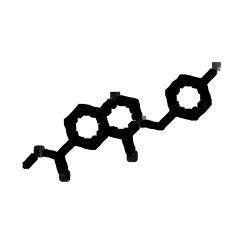 COC(=O)c1ccc2ncn(Cc3ccc(F)cc3)c(=O)c2c1